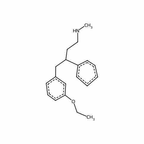 CCOc1cccc(CC(CCNC)c2ccccc2)c1